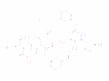 CCOc1cccc(CC(=O)N[C@H](C(=O)N[C@@H](Cc2ccccc2)[C@@H](O)CC(=O)N[C@H](C(=O)N[C@H](C(=O)O)C(C)C)[C@@H](C)CC)[C@@H](C)CC)c1